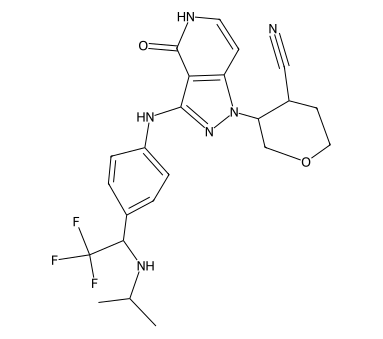 CC(C)NC(c1ccc(Nc2nn(C3COCCC3C#N)c3cc[nH]c(=O)c23)cc1)C(F)(F)F